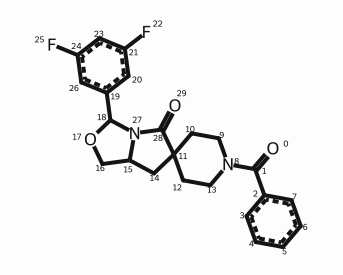 O=C(c1ccccc1)N1CCC2(CC1)CC1COC(c3cc(F)cc(F)c3)N1C2=O